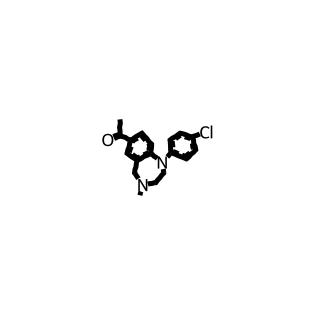 CC(=O)c1ccc2c(c1)CN(C)CCN2c1ccc(Cl)cc1